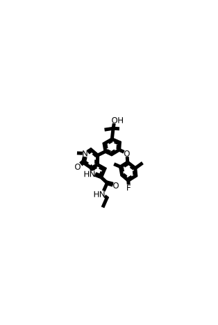 CCNC(=O)c1cc2c(-c3cc(Oc4c(C)cc(F)cc4C)cc(C(C)(C)O)c3)cn(C)c(=O)c2[nH]1